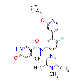 CC1CN(c2cc(F)c(-c3ccnc(OCC4CCC4)c3)cc2NC(=O)c2c[nH]c(=O)cc2C(F)(F)F)CC(C)N1C